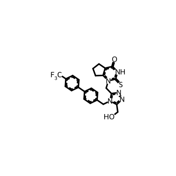 O=c1[nH]c(=S)n(Cc2nnc(CO)n2Cc2ccc(-c3ccc(C(F)(F)F)cc3)cc2)c2c1CCC2